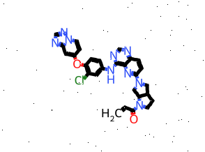 C=CC(=O)N1CCC2CN(c3ccc4ncnc(Nc5ccc(Oc6ccn7ncnc7c6)c(Cl)c5)c4n3)CC21